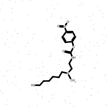 CN(CCCCCCS)CCNC(=O)Oc1ccc([N+](=O)[O-])cc1